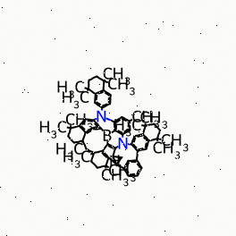 Cc1cc2c3c(c1)N(c1ccc4c(c1)C(C)(C)CCC4(C)C)c1cc4c5cc1B3C1=C3[C@@H]6CC6(C6=C1C(C)(CCC6(C)C)CC5(C)CCC4(C)C)c1cccc(c1)-c1cc4c(cc1N32)C(C)(C)CCC4(C)C